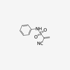 C=C(C#N)S(=O)(=O)Nc1ccccc1